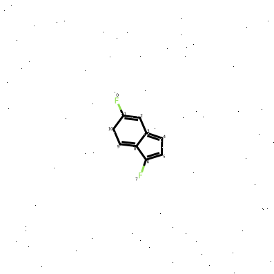 FC1=CC2=CC=C(F)C2=CC1